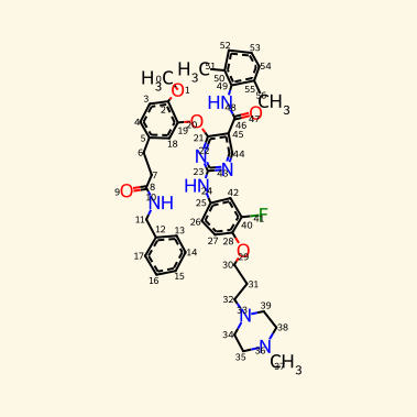 COc1ccc(CCC(=O)NCc2ccccc2)cc1Oc1nc(Nc2ccc(OCCCN3CCN(C)CC3)c(F)c2)ncc1C(=O)Nc1c(C)cccc1C